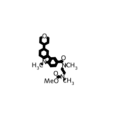 COC(=O)N(C)CCN(C)C(=O)c1ccc2c(c1)c1c(n2C)CCC(C2CCOCC2)C1